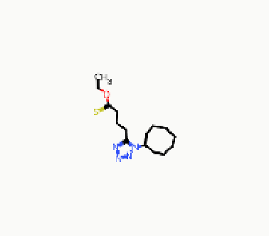 CCOC(=S)CCCc1nnnn1C1CCCCCCC1